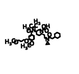 COCCCOc1cc(C(=O)N(C(C)C)[C@@H]2CC[C@H](CCN(C(=O)CC3CCCCC3)C3CC3)N(C(=O)O)C2)ccc1OC